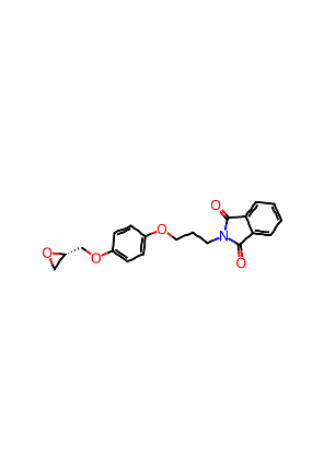 O=C1c2ccccc2C(=O)N1CCCOc1ccc(OC[C@@H]2CO2)cc1